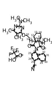 Cc1nc(N(C)C)nc(OCC[C@]23CC[C@](C)(O2)[C@@H]2C(=O)N(c4ccc(C#N)c5ccccc45)C(=O)[C@@H]23)c1C.O=C(O)C(F)(F)F